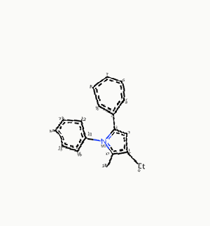 [CH2]Cc1cc(-c2ccccc2)n(-c2ccccc2)c1C